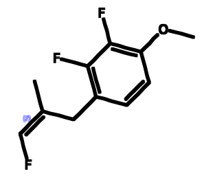 COc1ccc(C/C(C)=C\F)c(F)c1F